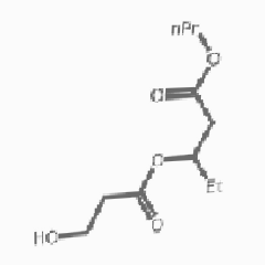 CCCOC(=O)CC(CC)OC(=O)CCO